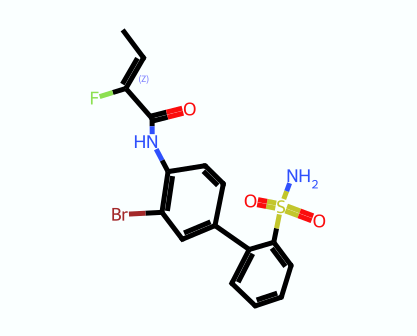 C/C=C(\F)C(=O)Nc1ccc(-c2ccccc2S(N)(=O)=O)cc1Br